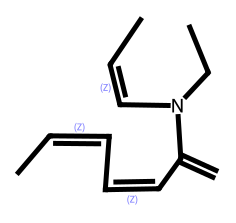 C=C(/C=C\C=C/C)N(/C=C\C)CC